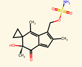 CC1=C(COS(N)(=O)=O)C2=C(C)C3(CC3)[C@@](C)(O)C(=O)C2=C1